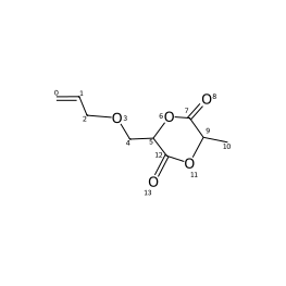 C=CCOCC1OC(=O)C(C)OC1=O